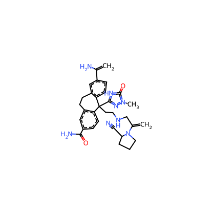 C=C(N)c1ccc2c(c1)CCc1cc(C(N)=O)ccc1C2(CCNCC(=C)N1CCCC1C#N)c1nn(C)c(=O)[nH]1